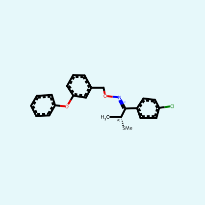 CS[C@H](C)/C(=N\OCc1cccc(Oc2ccccc2)c1)c1ccc(Cl)cc1